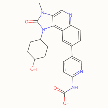 Cn1c(=O)n(C2CCC(O)CC2)c2c3cc(-c4ccc(NC(=O)O)nc4)ccc3ncc21